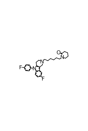 O=C1CCCCN1CCCCCCN1CCc2c(c3cc(F)ccc3n2-c2ccc(F)cc2)C1